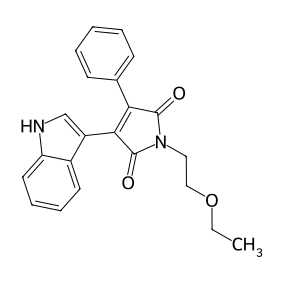 CCOCCN1C(=O)C(c2ccccc2)=C(c2c[nH]c3ccccc23)C1=O